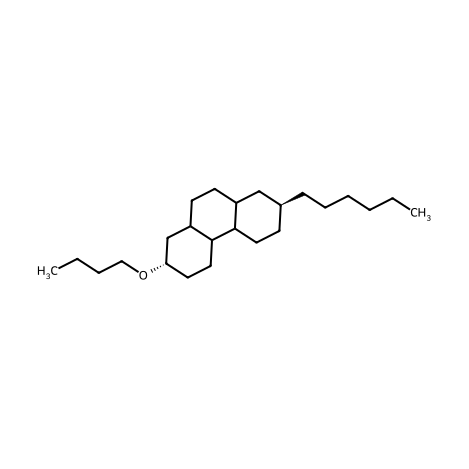 CCCCCC[C@H]1CCC2C(CCC3C[C@@H](OCCCC)CCC32)C1